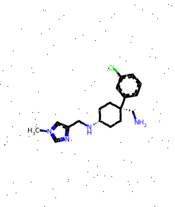 Cn1cnc(CN[C@H]2CC[C@](CN)(c3cccc(Cl)c3)CC2)c1